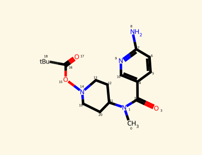 CN(C(=O)c1ccc(N)nc1)C1CCN(OC(=O)C(C)(C)C)CC1